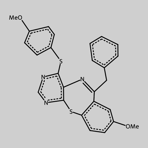 COc1ccc(Sc2ncnc3c2N=C(Cc2ccccc2)c2cc(OC)ccc2S3)cc1